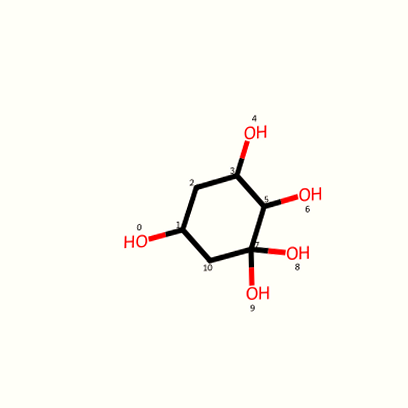 OC1CC(O)C(O)C(O)(O)C1